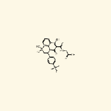 O=C(O)CNC(=O)c1c(O)c2cccc3c2n(c1=O)C(c1ccc(C(F)(F)F)cc1)CS3(O)O